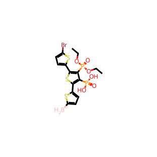 Bc1ccc(-c2sc(-c3ccc(Br)s3)c(P(=O)(OCC)OCC)c2P(=O)(O)O)s1